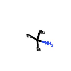 CCC(C)C(N)(CC)C(C)C